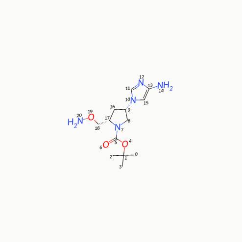 CC(C)(C)OC(=O)N1C[C@@H](n2cnc(N)c2)C[C@H]1CON